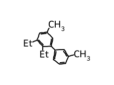 CCc1cc(C)cc(-c2cccc(C)c2)c1CC